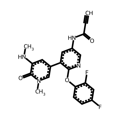 C#CC(=O)Nc1cnc(Oc2ccc(F)cc2F)c(-c2cc(NC)c(=O)n(C)c2)c1